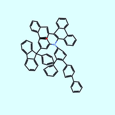 c1ccc(-c2ccc(-c3ccc(N(c4cccc(C5(c6ccccc6)c6ccccc6-c6ccccc65)c4)c4c(-c5ccc6ccccc6c5)c5ccccc5c5ccccc45)cc3-c3ccccc3)cc2)cc1